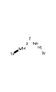 [Hf].[Mo][Ta].[Nb].[Ti].[W].[Zr]